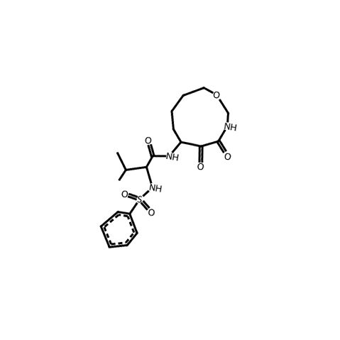 CC(C)C(NS(=O)(=O)c1ccccc1)C(=O)NC1CCCCOCNC(=O)C1=O